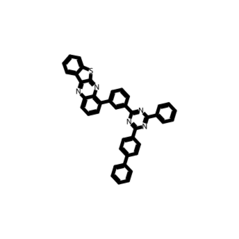 c1ccc(-c2ccc(-c3nc(-c4ccccc4)nc(-c4cccc(-c5cccc6nc7c(nc56)sc5ccccc57)c4)n3)cc2)cc1